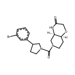 O=C1CO[C@H]2CCN(C(=O)N3CCC(c4cccc(Br)c4)C3)C[C@H]2N1